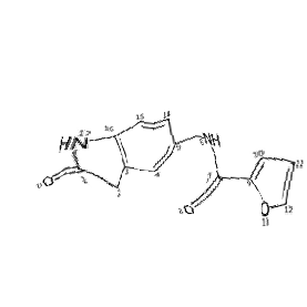 O=C1Cc2cc(NC(=O)c3ccco3)ccc2N1